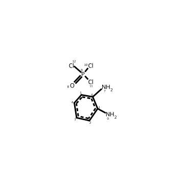 Nc1ccccc1N.O=P(Cl)(Cl)Cl